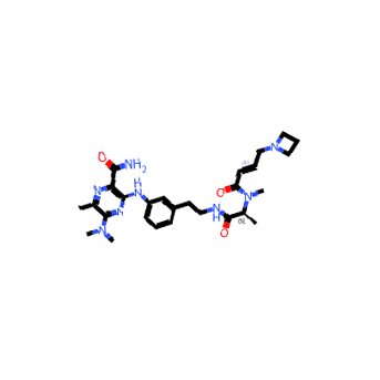 Cc1nc(C(N)=O)c(Nc2cccc(CCNC(=O)[C@H](C)N(C)C(=O)/C=C/CN3CCC3)c2)nc1N(C)C